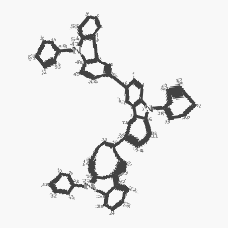 C1=CC2c3cc(-c4ccc5c(c4)c4cc(-c6ccc7c(c6)c6ccccc6n7-c6ccccc6)ccc4n5-c4ccccc4)ccc3N(c3ccccc3)C2C=C1